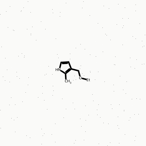 CCOCc1cc[nH]c1C